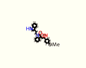 COc1ccc(C(=O)C[C@]2(O)C(=O)N(CCc3c[nH]c4ccccc34)c3ccccc32)cc1